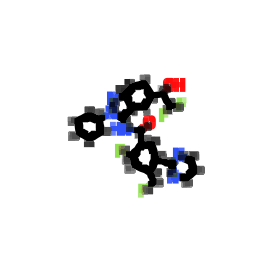 O=C(Nc1c2cc(C(O)C(F)F)ccc2nn1-c1ccccc1)c1cc(-c2ncccn2)c(CF)cc1F